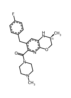 C[C@H]1COc2nc(C(=O)N3CCN(C)CC3)c(Cc3ccc(F)cc3)cc2N1